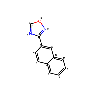 [c]1nc(-c2ccc3ccccc3c2)no1